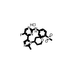 Cc1ncc(-c2nc(Nc3ccc(S(C)(=O)=O)cc3)ncc2F)n1C1CCOCC1.Cl